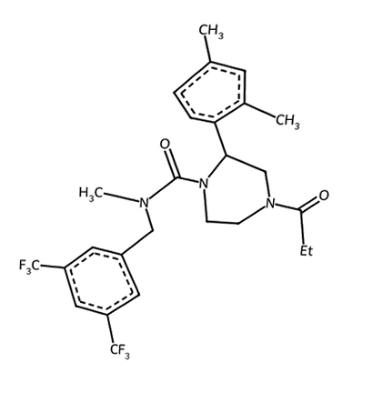 CCC(=O)N1CCN(C(=O)N(C)Cc2cc(C(F)(F)F)cc(C(F)(F)F)c2)C(c2ccc(C)cc2C)C1